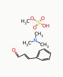 CN(C)C.COS(=O)(=O)O.O=CC=Cc1ccccc1